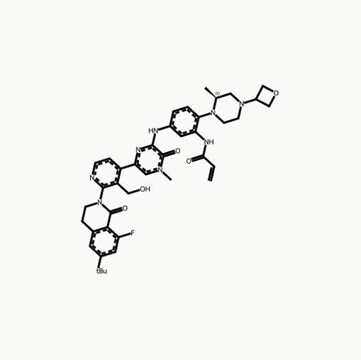 C=CC(=O)Nc1cc(Nc2nc(-c3ccnc(N4CCc5cc(C(C)(C)C)cc(F)c5C4=O)c3CO)cn(C)c2=O)ccc1N1CCN(C2COC2)C[C@@H]1C